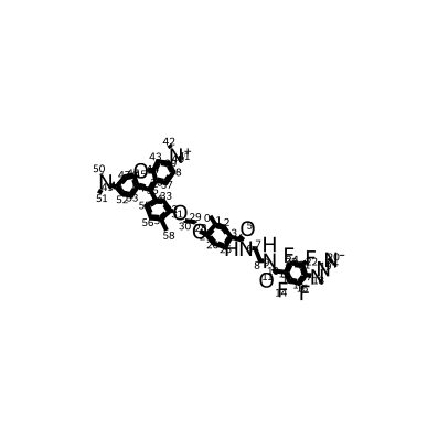 Cc1cc(C(=O)NCCNC(=O)c2c(F)c(F)c(N=[N+]=[N-])c(F)c2F)ccc1OCCOc1cc(-c2c3ccc(=[N+](C)C)cc-3oc3cc(N(C)C)ccc23)ccc1C